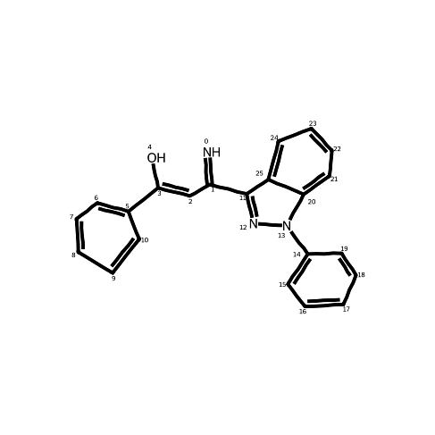 N=C(/C=C(\O)c1ccccc1)c1nn(-c2ccccc2)c2ccccc12